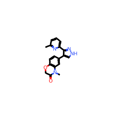 Cc1cccc(-c2n[nH]cc2-c2ccc3c(c2)N(C)C(=O)CO3)n1